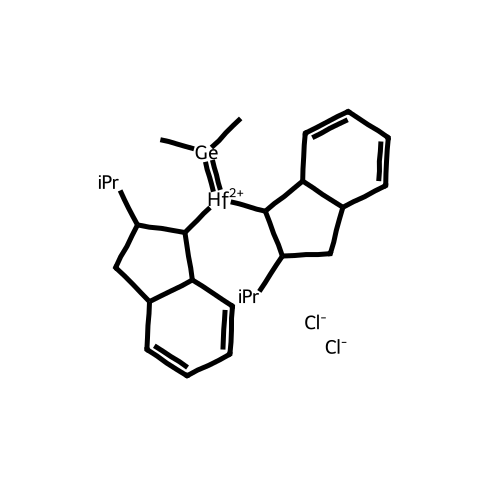 CC(C)C1CC2C=CC=CC2[CH]1[Hf+2]([CH]1C2C=CC=CC2CC1C(C)C)=[Ge]([CH3])[CH3].[Cl-].[Cl-]